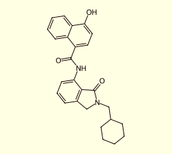 O=C(Nc1cccc2c1C(=O)N(CC1CCCCC1)C2)c1ccc(O)c2ccccc12